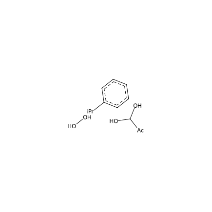 CC(=O)C(O)O.CC(C)c1ccccc1.OO